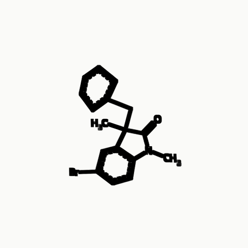 CN1C(=O)C(C)(Cc2ccccc2)c2cc(Br)ccc21